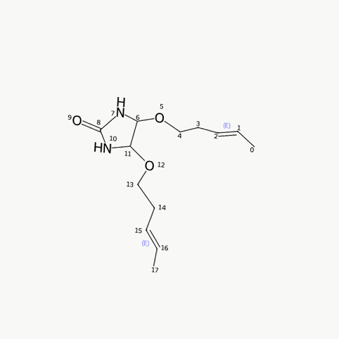 C/C=C/CCOC1NC(=O)NC1OCC/C=C/C